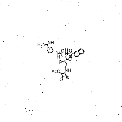 CC(=O)Oc1c(NCCN(C(=O)[C@H](CC(=O)NC[C@@H]2CCCN(C(=N)N)C2)NS(=O)(=O)c2ccc3ccccc3c2)C2CC2)c(=O)c1=O